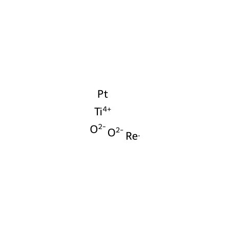 [O-2].[O-2].[Pt].[Re].[Ti+4]